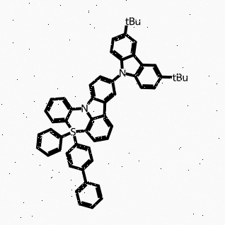 CC(C)(C)c1ccc2c(c1)c1cc(C(C)(C)C)ccc1n2-c1ccc2c(c1)c1cccc3c1n2-c1ccccc1S3(c1ccccc1)c1ccc(-c2ccccc2)cc1